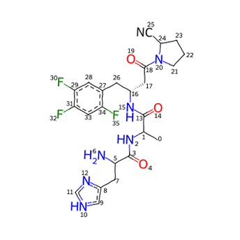 CC(NC(=O)C(N)Cc1c[nH]cn1)C(=O)N[C@@H](CC(=O)N1CCCC1C#N)Cc1cc(F)c(F)cc1F